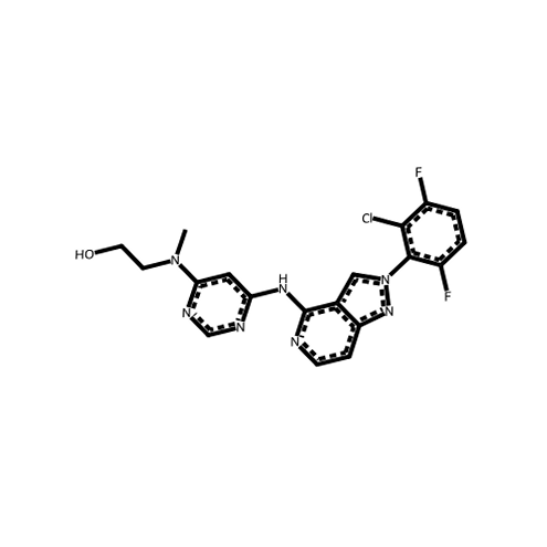 CN(CCO)c1cc(Nc2nccc3nn(-c4c(F)ccc(F)c4Cl)cc23)ncn1